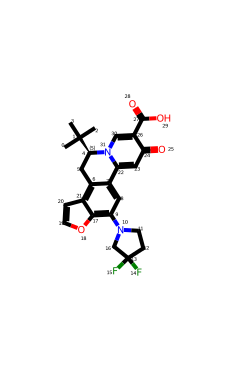 CC(C)(C)[C@@H]1Cc2c(cc(N3CCC(F)(F)C3)c3occc23)-c2cc(=O)c(C(=O)O)cn21